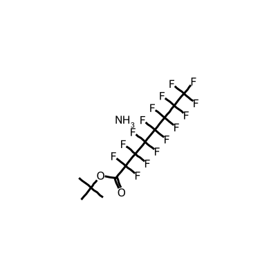 CC(C)(C)OC(=O)C(F)(F)C(F)(F)C(F)(F)C(F)(F)C(F)(F)C(F)(F)C(F)(F)F.N